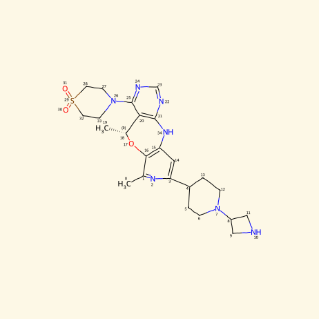 Cc1nc(C2CCN(C3CNC3)CC2)cc2c1O[C@H](C)c1c(ncnc1N1CCS(=O)(=O)CC1)N2